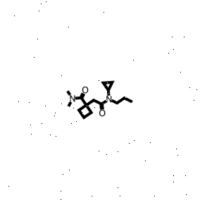 CCCN(C(=O)CC1(C(=O)N(C)C)CCC1)C1CC1